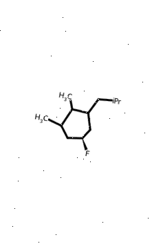 CC(C)CC1C[C@@H](F)CC(C)C1C